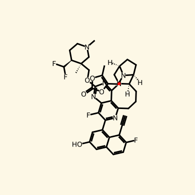 C#Cc1c(F)ccc2cc(O)cc(-c3nc4c5c(nc(OC[C@]6(C)CN(C)CC[C@@H]6C(F)F)nc5c3F)N3C[C@H]5CC[C@@H]([C@H]3CCC4)N5Cc3oc(=O)oc3C)c12